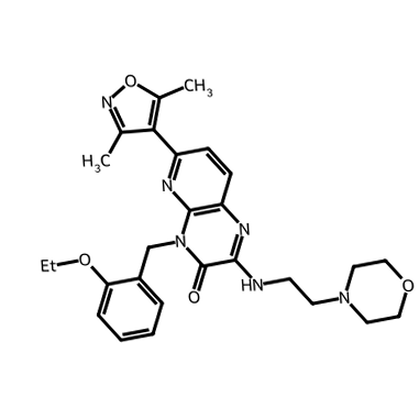 CCOc1ccccc1Cn1c(=O)c(NCCN2CCOCC2)nc2ccc(-c3c(C)noc3C)nc21